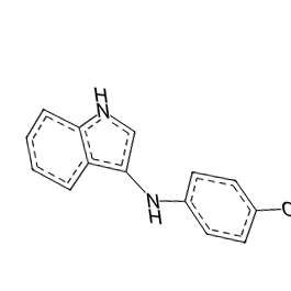 FC(F)(F)c1ccc(Nc2c[nH]c3ccccc23)cc1